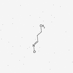 CCCC=N[O]